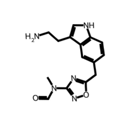 CN(C=O)c1noc(Cc2ccc3[nH]cc(CCN)c3c2)n1